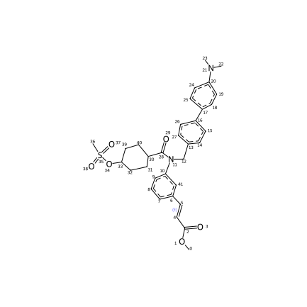 COC(=O)/C=C/c1cccc(N(Cc2ccc(-c3ccc(N(C)C)cc3)cc2)C(=O)C2CCC(OS(C)(=O)=O)CC2)c1